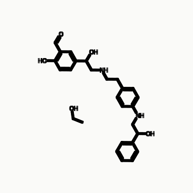 CCO.O=Cc1cc(C(O)CNCCc2ccc(NCC(O)c3ccccc3)cc2)ccc1O